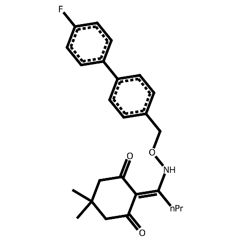 CCCC(NOCc1ccc(-c2ccc(F)cc2)cc1)=C1C(=O)CC(C)(C)CC1=O